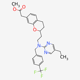 CCc1cnc(N(CCC2CCc3ccc(CC(=O)OC)cc3O2)Cc2ccc(C(F)(F)F)cc2)nc1